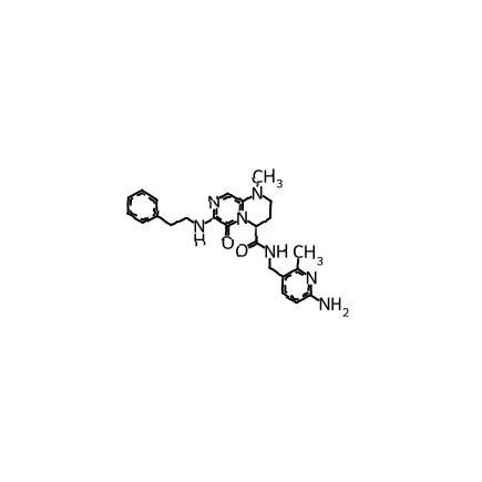 Cc1nc(N)ccc1CNC(=O)[C@@H]1CCN(C)c2cnc(NCCc3ccccc3)c(=O)n21